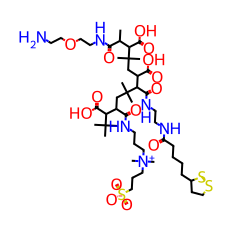 CC(C(=O)NCCOCCN)C(C(=O)O)C(C)(C)CC(C(=O)O)C(C(=O)NCCNC(=O)CCCCC1CCSS1)C(C)(C)CC(C(=O)NCCC[N+](C)(C)CCCS(=O)(=O)[O-])C(C(=O)O)C(C)(C)C